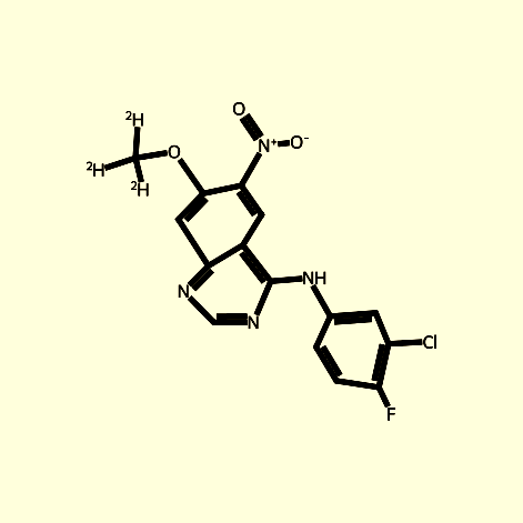 [2H]C([2H])([2H])Oc1cc2ncnc(Nc3ccc(F)c(Cl)c3)c2cc1[N+](=O)[O-]